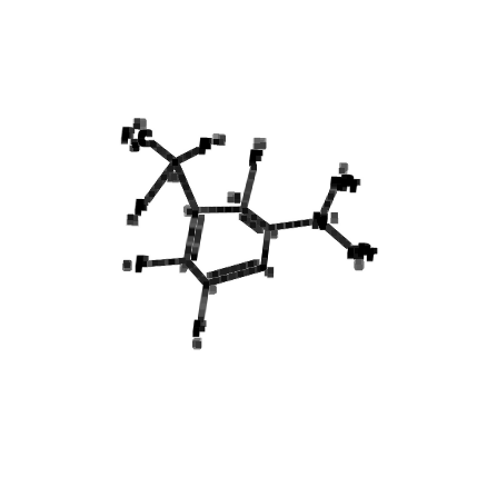 CCCN(CCC)c1cc(F)c(F)c(C(F)(F)C(F)(F)F)c1F